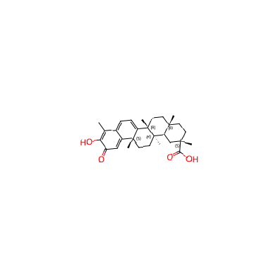 CC1=C(O)C(=O)C=C2C1=CC=C1[C@]2(C)CC[C@]2(C)C3C[C@@](C)(C(=O)O)CC[C@@]3(C)CC[C@@]12C